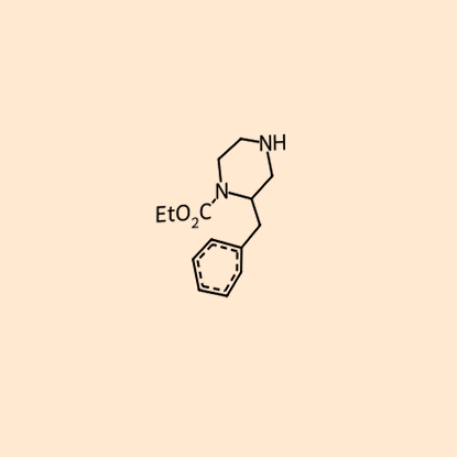 CCOC(=O)N1CCNCC1Cc1ccccc1